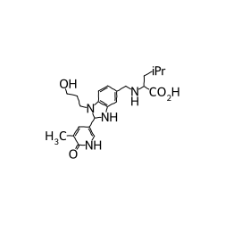 Cc1cc(C2Nc3cc(CNC(CC(C)C)C(=O)O)ccc3N2CCCO)c[nH]c1=O